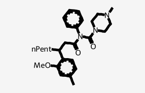 CCCCCC(CC(=O)N(C(=O)N1CCN(C)CC1)c1ccccc1)c1ccc(C)cc1OC